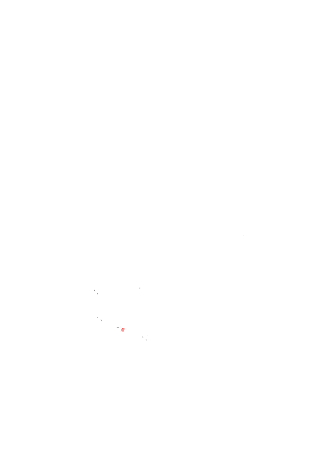 NC1CC2CCC(C1)N2C(=O)C(NS(=O)(=O)c1ccc2cc(OC3CCCC3)ccc2c1)C(F)(F)c1ccc(-c2ccc(Cl)s2)cc1